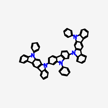 c1ccc(-n2c3cc(-n4c5ccccc5c5cc6c7ccccc7n(-c7ccccc7)c6cc54)ccc3c3ccc(-n4c5ccccc5c5cc6c7ccccc7n(-c7ccccc7)c6cc54)cc32)cc1